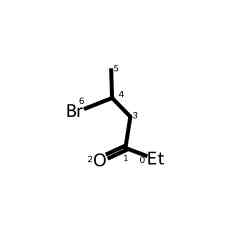 CCC(=O)CC(C)Br